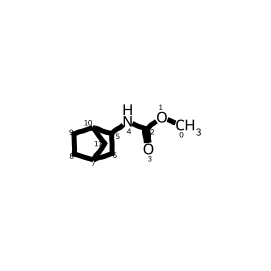 COC(=O)NC1CC2CCC1C2